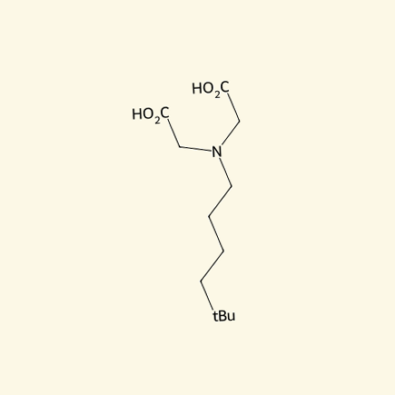 CC(C)(C)CCCCN(CC(=O)O)CC(=O)O